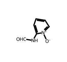 O=CNc1cccc[n+]1[O-]